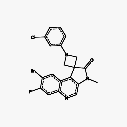 CN1C(=O)C2(CN(c3cccc(Cl)c3)C2)c2c1cnc1cc(F)c(Br)cc21